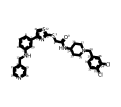 O=C(CSc1nc(-c2cccc(NCc3ccncc3)c2)cs1)NC1CCN(Cc2ccc(Cl)c(Cl)c2)CC1